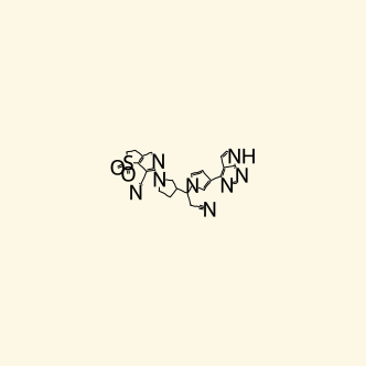 N#CCC(C1CCN(c2ncc3c(c2C#N)S(=O)(=O)CC3)C1)n1ccc(-c2ncnc3[nH]ccc23)c1